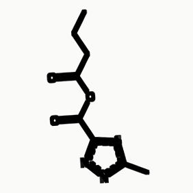 CCCC(=O)OC(=O)c1nnc(C)s1